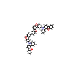 c1ccc2c(c1)oc1c2ccc2c1c1ccccc1n2-c1ccc2oc3ccc(-c4ccc5oc6c(ccc7oc8ccc(-n9c%10ccccc%10c%10c%11oc%12ccccc%12c%11ccc%109)cc8c76)c5c4)cc3c2c1